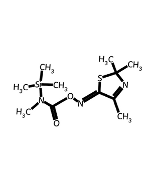 CC1=NC(C)(C)SC1=NOC(=O)N(C)[Si](C)(C)C